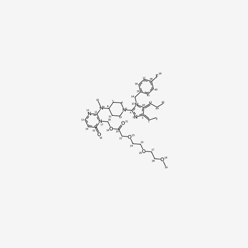 C/C=c1/nc(N2CCC(N(C)c3nccc(=O)n3COC(=O)COCCOCCOC)CC2)n(Cc2ccc(F)cc2)/c1=C/CC